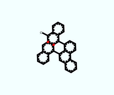 Clc1ccc(-c2cccc3c2c(-c2cccc4ccccc24)cc2ccccc23)c2ccccc12